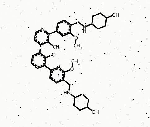 COc1cc(-c2nccc(-c3cccc(-c4ccc(CNC5CCC(O)CC5)c(OC)n4)c3Cl)c2C)ccc1CNC1CCC(O)CC1